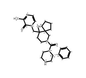 Cc1nccn(CC2(O)CCN(C(=O)N3CCNC[C@H]3c3ccccc3)CC23CCCC3)c1=O